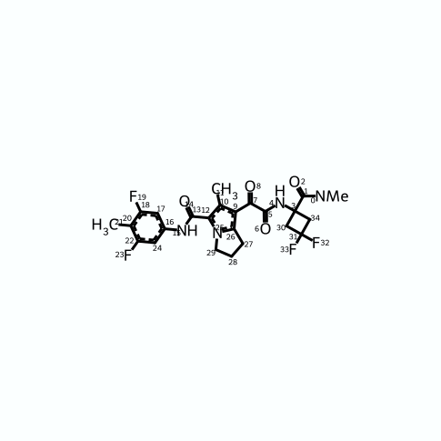 CNC(=O)C1(NC(=O)C(=O)c2c(C)c(C(=O)Nc3cc(F)c(C)c(F)c3)n3c2CCC3)CC(F)(F)C1